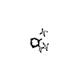 CB(c1ccccc1C)[Si](C)(C)C.C[N+](C)(C)C